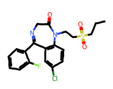 CCCS(=O)(=O)CCN1C(=O)CN=C(c2ccccc2F)c2cc(Cl)ccc21